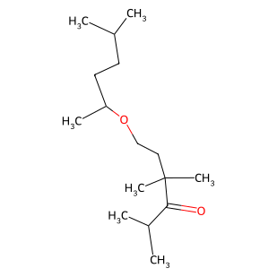 CC(C)CCC(C)OCCC(C)(C)C(=O)C(C)C